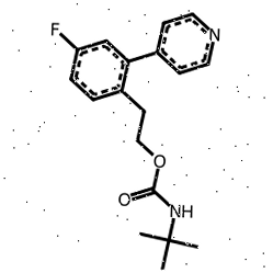 CC(C)(C)NC(=O)OCCc1ccc(F)cc1-c1ccncc1